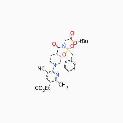 CCOC(=O)c1cc(C#N)c(N2CCC(C(=O)N(CC(=O)OC(C)(C)C)S(=O)(=O)Cc3ccccc3)CC2)nc1C